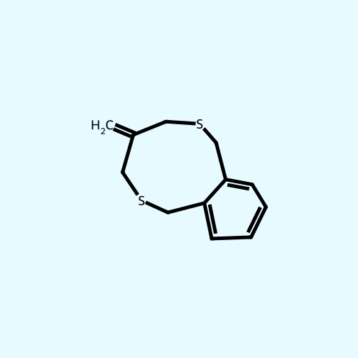 C=C1CSCc2ccccc2CSC1